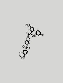 Cn1cc(-c2ccc(F)cc2)c(C(O)C(=O)N2CC3=C(C2)CN(S(=O)(=O)c2ccc4c(c2)OCCO4)C3)n1